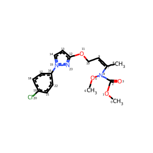 COC(=O)N(OC)C(C)=CCOc1ccn(-c2ccc(Cl)cc2)n1